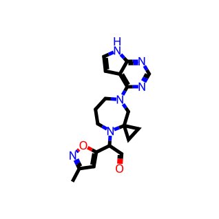 Cc1cc(C(C=O)N2CCCN(c3ncnc4[nH]ccc34)CC23CC3)on1